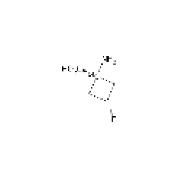 N[14C@]1(C(=O)O)C[C@H](F)C1